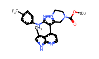 Cc1c[nH]c2nccc(-c3c(Nc4ccc(C(F)(F)F)cc4)nn4c3CN(C(=O)OC(C)(C)C)CC4)c12